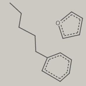 CCCCCc1ccccc1.c1ccoc1